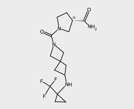 NC(=O)[C@H]1CCN(C(=O)N2CC3(CC(NC4(C(F)(F)F)CC4)C3)C2)C1